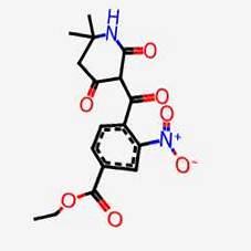 CCOC(=O)c1ccc(C(=O)C2C(=O)CC(C)(C)NC2=O)c([N+](=O)[O-])c1